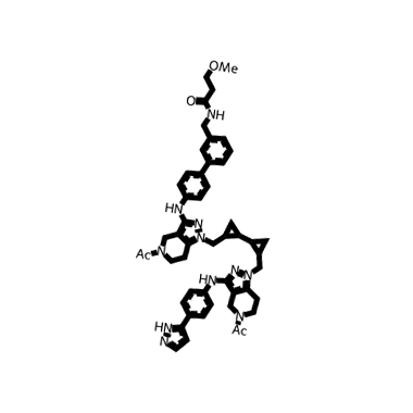 COCCC(=O)NCc1cccc(-c2ccc(Nc3nn(CC4CC4C4CC4Cn4nc(Nc5ccc(-c6ccn[nH]6)cc5)c5c4CCN(C(C)=O)C5)c4c3CN(C(C)=O)CC4)cc2)c1